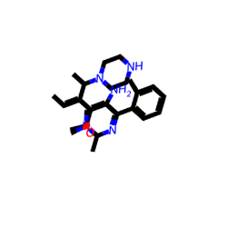 C/C=C(/C(C(C)=O)=C(N)/C(=N\C(C)N(C)C)c1ccccc1C)C(C)N1CCNCC1